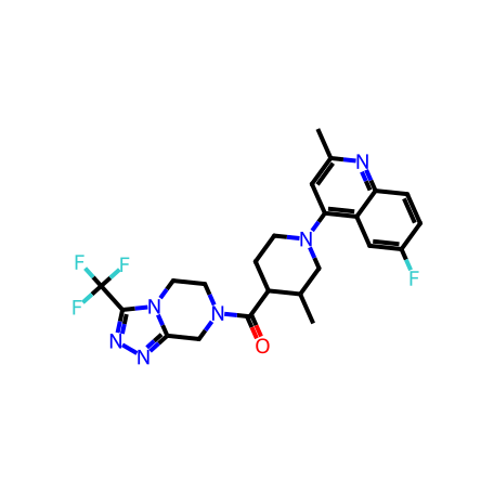 Cc1cc(N2CCC(C(=O)N3CCn4c(nnc4C(F)(F)F)C3)C(C)C2)c2cc(F)ccc2n1